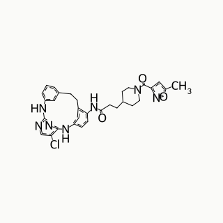 Cc1cc(C(=O)N2CCC(CCC(=O)Nc3ccc4cc3CCc3cccc(c3)Nc3ncc(Cl)c(n3)N4)CC2)no1